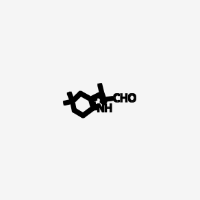 Cc1c(C=O)[nH]c2c1CC(C)(C)CC2